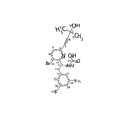 CC(C)(O)C#Cc1ccc(Br)c(C(Cc2cc(F)cc(F)c2)NC(=O)O)n1